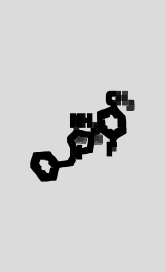 Cc1ccc(F)c([C@H]2CN(Cc3ccccc3)C[C@@H]2N)c1